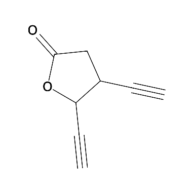 C#CC1CC(=O)OC1C#C